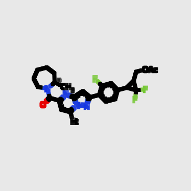 CCc1cc(C(=O)N2CCCCC[C@H]2C)nc2cc(-c3ccc(C4C(COC(C)=O)C4(F)F)cc3F)nn12